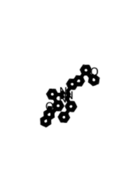 c1ccc(-c2cccc(-c3nc(-c4ccc5cc(-c6cccc7oc8ccccc8c67)ccc5c4)nc(-c4ccccc4-c4cccc5c4oc4cc6ccccc6cc45)n3)c2)cc1